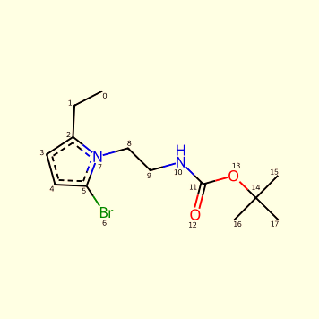 CCc1ccc(Br)n1CCNC(=O)OC(C)(C)C